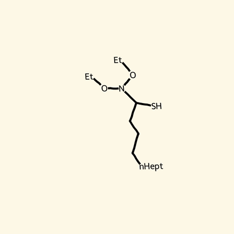 CCCCCCCCCCC(S)N(OCC)OCC